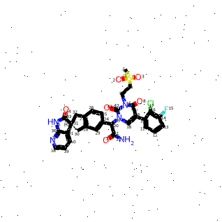 CS(=O)(=O)CCn1c(=O)c(-c2cccc(F)c2Cl)cn(C(C(N)=O)c2ccc3c(c2)C[C@@]2(C3)C(=O)Nc3ncccc32)c1=O